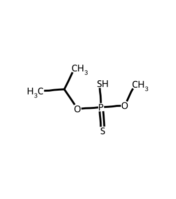 COP(=S)(S)OC(C)C